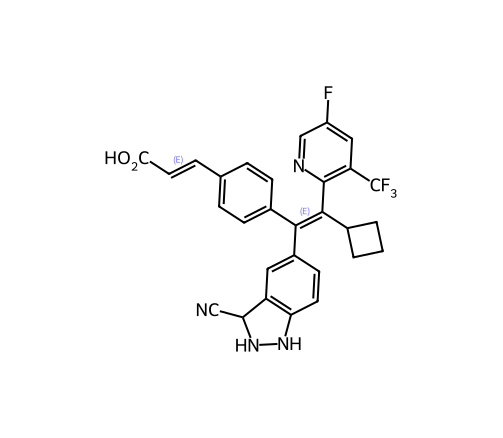 N#CC1NNc2ccc(/C(=C(/c3ncc(F)cc3C(F)(F)F)C3CCC3)c3ccc(/C=C/C(=O)O)cc3)cc21